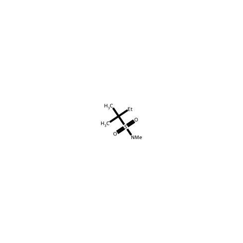 CCC(C)(C)S(=O)(=O)NC